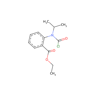 CCOC(=O)c1ccccc1N(C(=O)Cl)C(C)C